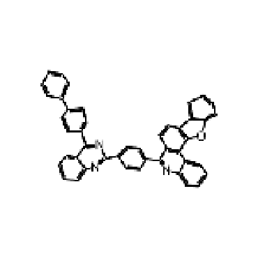 c1ccc(-c2ccc(-c3nc(-c4ccc(-c5nc6ccccc6c6c5ccc5c7ccccc7oc56)cc4)nc4ccccc34)cc2)cc1